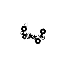 CC(O)(COc1ccccc1NC(=O)c1ccccc1)CN1CCC(Oc2ccc(Cl)cc2)C1